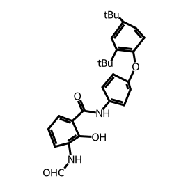 CC(C)(C)c1ccc(Oc2ccc(NC(=O)c3cccc(NC=O)c3O)cc2)c(C(C)(C)C)c1